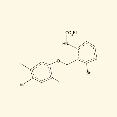 CCOC(=O)Nc1cccc(Br)c1COc1cc(C)c(CC)cc1C